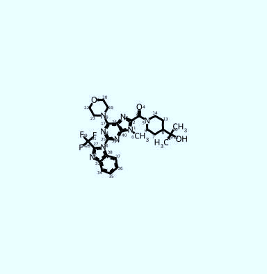 Cn1c(C(=O)N2CCC(C(C)(C)O)CC2)nc2c(N3CCOCC3)nc(-n3c(C(F)(F)F)nc4ccccc43)nc21